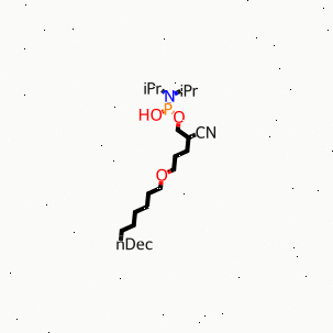 CCCCCCCCCCCCCCCCOCCCC(C#N)COP(O)N(C(C)C)C(C)C